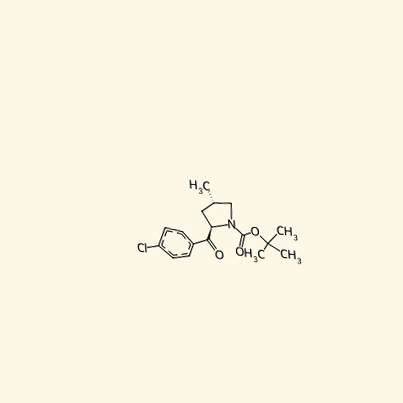 C[C@H]1C[C@H](C(=O)c2ccc(Cl)cc2)N(C(=O)OC(C)(C)C)C1